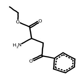 CCOC(=O)C(N)CC(=O)c1ccccc1